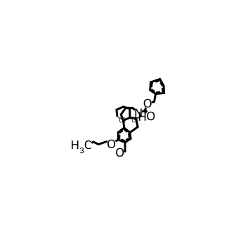 CCCCOc1cc2c(cc1C=O)C[C@H]1C3CCCC[C@@]23CCCN1C(=O)OCc1ccccc1